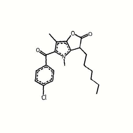 CCCCCCC1C(=O)Oc2c(C)c(C(=O)c3ccc(Cl)cc3)n(C)c21